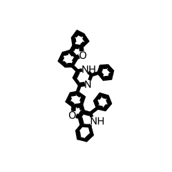 C1=CC2=c3oc4ccc(C5=NC(c6ccccc6)NC(c6cccc7c6oc6ccccc67)=C5)cc4c3=C(c3ccccc3)NC2C=C1